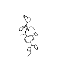 CCOC(=O)c1ccc2c(c1)OCCN(C(=O)[C@@H]1CCCOC1)C2C